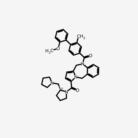 COc1ccccc1-c1ccc(C(=O)N2Cc3ccc(C(=O)N4CCC[C@H]4CN4CCCC4)n3Cc3ccccc32)cc1C